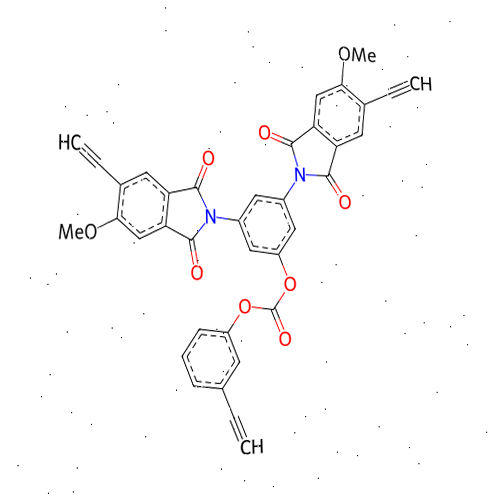 C#Cc1cccc(OC(=O)Oc2cc(N3C(=O)c4cc(C#C)c(OC)cc4C3=O)cc(N3C(=O)c4cc(C#C)c(OC)cc4C3=O)c2)c1